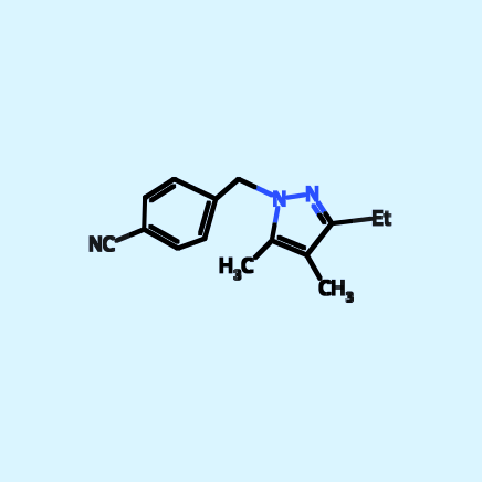 CCc1nn(Cc2ccc(C#N)cc2)c(C)c1C